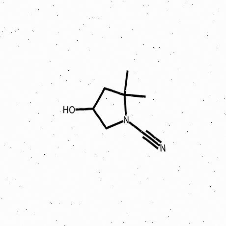 CC1(C)CC(O)CN1C#N